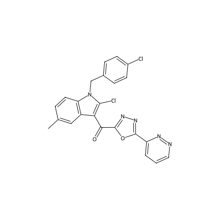 Cc1ccc2c(c1)c(C(=O)c1nnc(-c3cccnn3)o1)c(Cl)n2Cc1ccc(Cl)cc1